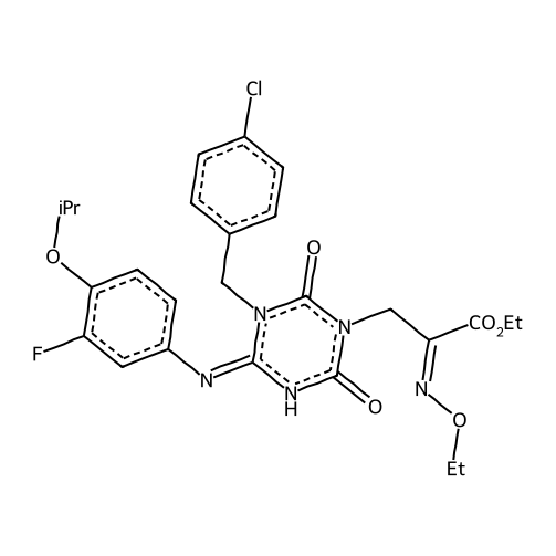 CCON=C(Cn1c(=O)[nH]c(=Nc2ccc(OC(C)C)c(F)c2)n(Cc2ccc(Cl)cc2)c1=O)C(=O)OCC